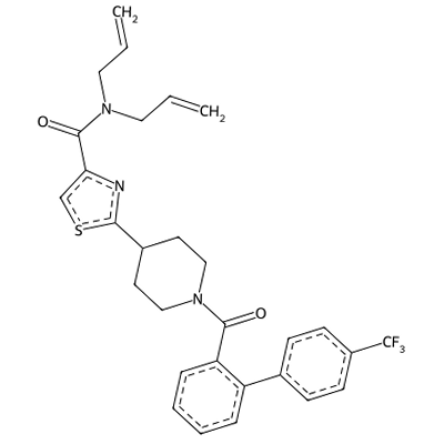 C=CCN(CC=C)C(=O)c1csc(C2CCN(C(=O)c3ccccc3-c3ccc(C(F)(F)F)cc3)CC2)n1